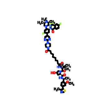 COc1cc(-c2scnc2C)ccc1[C@H](C)NC(=O)[C@@H]1C[C@@H](O)CN1C(=O)[C@@H](NC(=O)CCCCCCCCC(=O)N1CCN(c2ncc(-c3cc(NC(=O)c4ccc(F)cc4C(F)(F)F)c(N4C[C@@H](C)N(C)[C@@H](C)C4)cc3F)cn2)CC1)C(C)(C)C